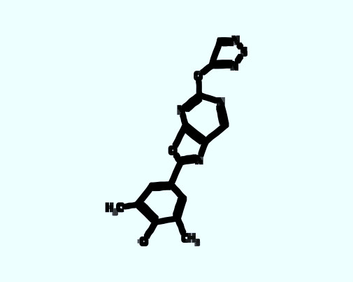 Cc1cc(-c2nc3cnc(Oc4cnsn4)nc3o2)cc(C)c1[O]